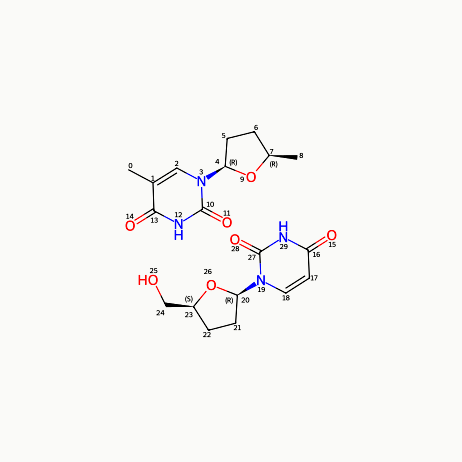 Cc1cn([C@H]2CC[C@@H](C)O2)c(=O)[nH]c1=O.O=c1ccn([C@H]2CC[C@@H](CO)O2)c(=O)[nH]1